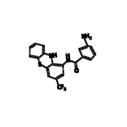 Nc1cccc(C(=O)Nc2cc(C(F)(F)F)cc3c2Nc2ccccc2S3)c1